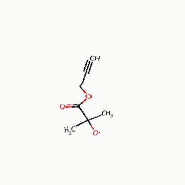 C#CCOC(=O)C(C)(C)[O]